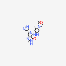 Cc1nc2cc(-c3cncnc3)nc(Nc3ccc(N4CCO[C@H](C)C4)c(C)c3)c2c(=O)[nH]1